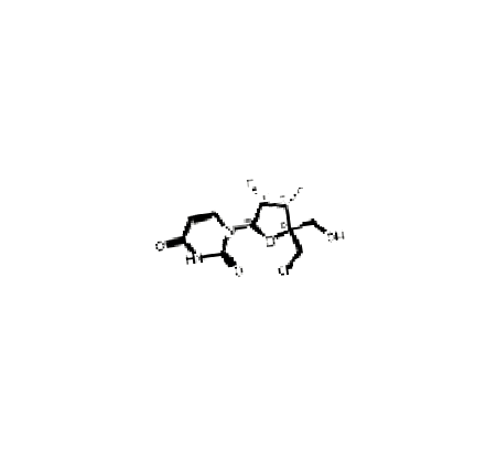 C[C@H]1[C@@H](F)[C@H](n2ccc(=O)[nH]c2=O)O[C@@]1(CO)CCl